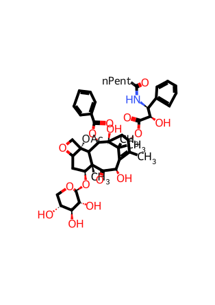 CCCCCC(=O)N[C@@H](c1ccccc1)[C@@H](O)C(=O)O[C@H]1C[C@@]2(O)[C@@H](OC(=O)c3ccccc3)C3[C@]4(OC(C)=O)COC4C[C@H](O[C@@H]4OC[C@@H](O)[C@H](O)[C@H]4O)[C@@]3(C)C(=O)[C@H](O)C(=C1C)C2(C)C